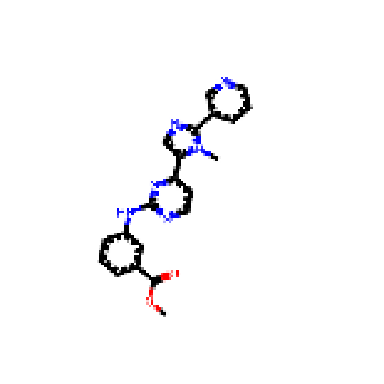 COC(=O)c1cccc(Nc2nccc(-c3cnc(-c4cccnc4)n3C)n2)c1